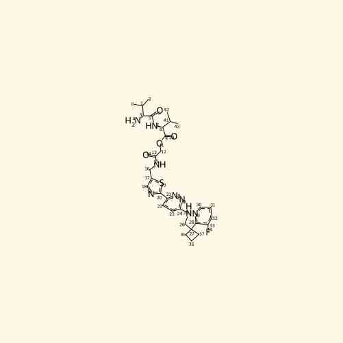 CC(C)C(N)C(=O)N[C@H](C(=O)OCC(=O)NCc1cnc(-c2ccc(NCC3(c4ncccc4F)CCC3)nn2)s1)C(C)C